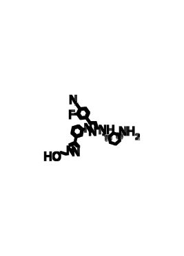 N#Cc1ccc(-c2cc(NC[C@H]3CCC[C@H](N)C3)nn2-c2cccc(-c3cnn(CCO)c3)c2)cc1F